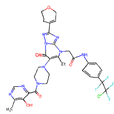 CCc1c(N2CCN(C(=O)c3ncnc(C)c3O)CC2)c(=O)n2nc(C3=CCOCC3)nc2n1CC(=O)Nc1ccc(C(F)(F)C(F)(F)Cl)cc1